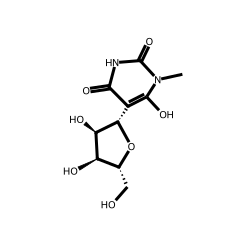 Cn1c(O)c([C@@H]2O[C@H](CO)[C@@H](O)[C@H]2O)c(=O)[nH]c1=O